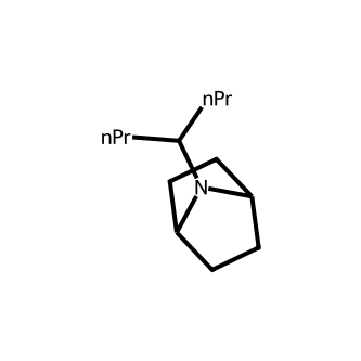 CCCC(CCC)N1C2CCC1CC2